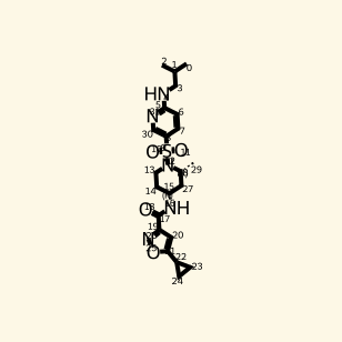 CC(C)CNc1ccc(S(=O)(=O)N2CC[C@@H](NC(=O)c3cc(C4CC4)on3)C[C@H]2C)cn1